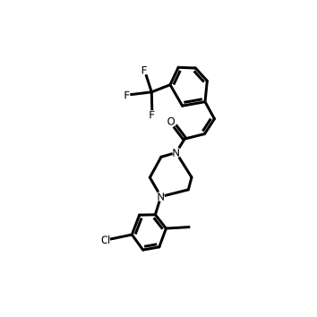 Cc1ccc(Cl)cc1N1CCN(C(=O)/C=C\c2cccc(C(F)(F)F)c2)CC1